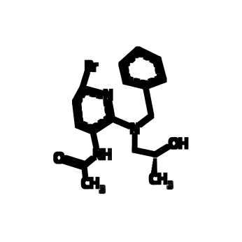 CC(=O)Nc1ccc(Br)nc1N(Cc1ccccc1)C[C@@H](C)O